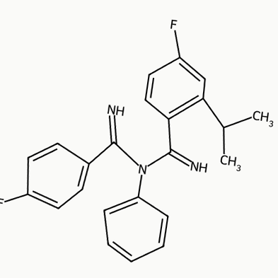 CC(C)c1cc(F)ccc1C(=N)N(C(=N)c1ccc(F)cc1)c1ccccc1